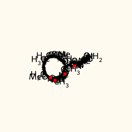 CO[C@H]1C[C@@H]2CC[C@@H](C)[C@@](O)(O2)C(=O)C(=O)N2CCCC[C@H]2C(=O)O[C@H]([C@H](C)C[C@@H]2CC[C@H](n3cc(-c4ccc(S(N)(=O)=O)cc4)nn3)[C@H](OC)C2)CC(=O)[C@H](C)/C=C(\C)[C@@H](O)[C@@H](OC)C(=O)[C@H](C)C[C@H](C)/C=C/C=C/C=C/1C